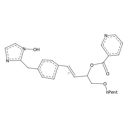 CCCCCOCC(/C=C/c1ccc(Cc2nccn2O)cc1)OC(=O)c1cccnc1